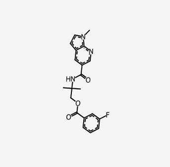 Cn1ccc2cc(C(=O)NC(C)(C)COC(=O)c3cccc(F)c3)cnc21